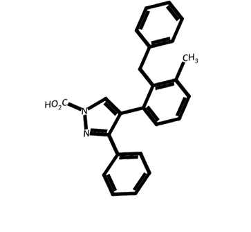 Cc1cccc(-c2cn(C(=O)O)nc2-c2ccccc2)c1Cc1ccccc1